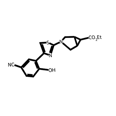 CCOC(=O)C1C2CN(c3nc(-c4cc(C#N)ccc4O)cs3)CC21